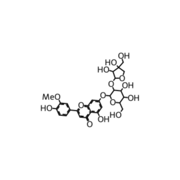 COc1cc(-c2cc(=O)c3c(O)cc(OC4OC(CO)C(O)C(O)C4OC4OCC(O)(CO)C4O)cc3o2)ccc1O